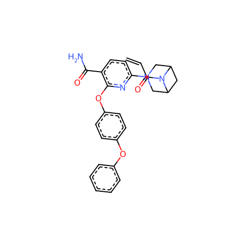 C=CC(=O)N1C2CC1CN(c1ccc(C(N)=O)c(Oc3ccc(Oc4ccccc4)cc3)n1)C2